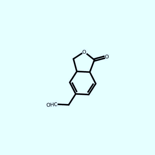 O=CCC1=CC2COC(=O)C2C=C1